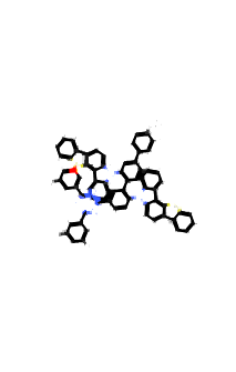 CC(C)(C)c1cc(-c2nc(-c3cc(C(C)(C)C)cc(C(C)(C)C)c3)nc(-c3ccc(-n4c5ccccc5c5c6sc7ccccc7c6ccc54)c(-c4ccc(-c5ccc(C#N)cc5)cc4-n4c5ccccc5c5c6sc7ccccc7c6ccc54)c3)n2)cc(C(C)(C)C)c1